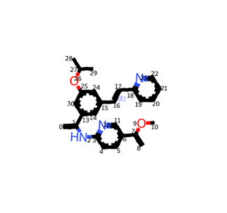 C=C(Nc1ccc(C(=C)OC)cn1)c1cc(/C=C/c2ccccn2)cc(OC(C)C)c1